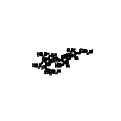 N[C@@H](CC(=O)O)C(=O)NCC(=O)N[C@@H](CO)C(=O)NCC(=O)N[C@@H](CC(=O)O)C(=O)N[C@@H](CC(=O)O)C(=O)N[C@@H](CC(=O)O)C(=O)O